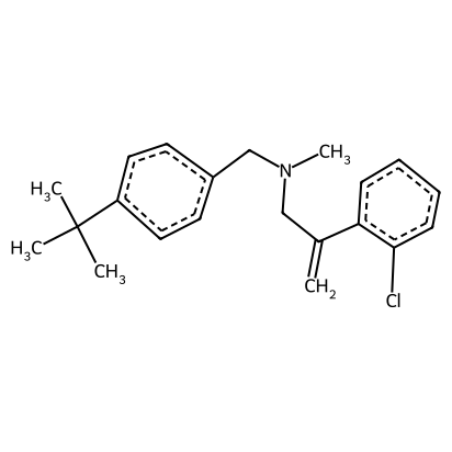 C=C(CN(C)Cc1ccc(C(C)(C)C)cc1)c1ccccc1Cl